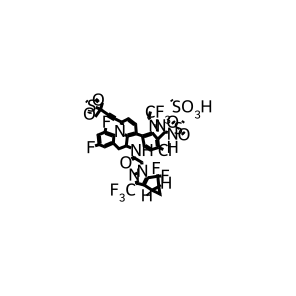 CC(C)(C#Cc1ccc(-c2ccc(Cl)c3c(NS(C)(=O)=O)nn(CC(F)(F)F)c23)c(C(Cc2cc(F)cc(F)c2)NC(=O)Cn2nc(C(F)(F)F)c3c2C(F)(F)[C@@H]2C[C@H]32)n1)S(C)(=O)=O.CS(=O)(=O)O